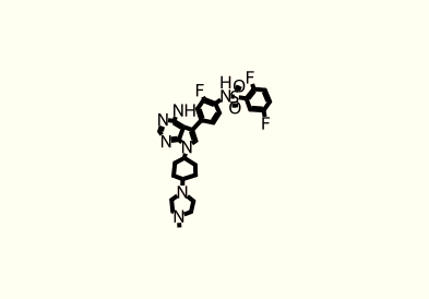 CN1CCN(C2CCC(n3cc(-c4ccc(NS(=O)(=O)c5cc(F)ccc5F)c(F)c4)c4c(N)ncnc43)CC2)CC1